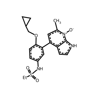 CCS(=O)(=O)Nc1ccc(OCC2CC2)c(-c2cc(C)[n+]([O-])c3[nH]ccc23)c1